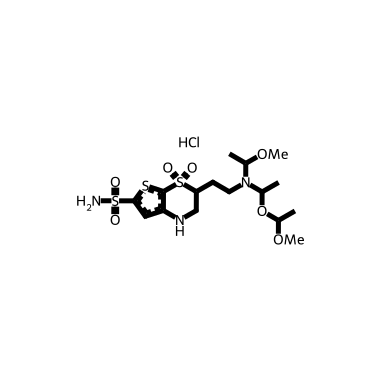 COC(C)OC(C)N(CCC1CNc2cc(S(N)(=O)=O)sc2S1(=O)=O)C(C)OC.Cl